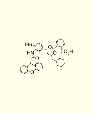 CC(C)(C)c1ccc(CCC(CC2CCCCC2)OC(=O)c2ccccc2C(=O)O)cc1NC(=O)CC1c2ccccc2Oc2ccccc21